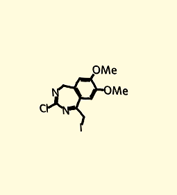 COc1cc2c(cc1OC)C(CI)=NC(Cl)=NC2